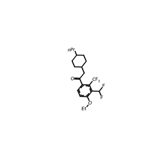 CCCC1CCC(CC(=O)c2ccc(OCC)c(C(F)F)c2C(F)(F)F)CC1